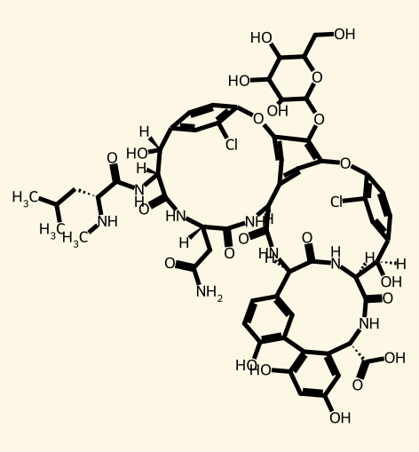 CN[C@H](CC(C)C)C(=O)N[C@H]1C(=O)N[C@@H](CC(N)=O)C(=O)N[C@H]2C(=O)N[C@H]3C(=O)N[C@H](C(=O)N[C@H](C(=O)O)c4cc(O)cc(O)c4-c4cc3ccc4O)[C@H](O)c3ccc(c(Cl)c3)Oc3cc2cc(c3OC2OC(CO)C(O)C(O)C2O)Oc2ccc(cc2Cl)[C@H]1O